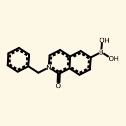 O=c1c2ccc(B(O)O)cc2ccn1Cc1ccccc1